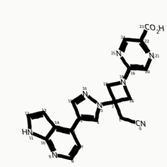 N#CCC1(n2cc(-c3ccnc4[nH]ccc34)cn2)CN(c2cnc(C(=O)O)cn2)C1